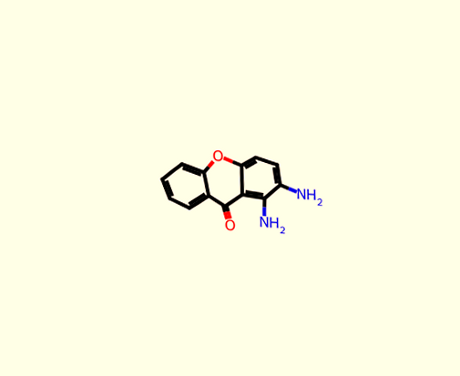 Nc1ccc2oc3ccccc3c(=O)c2c1N